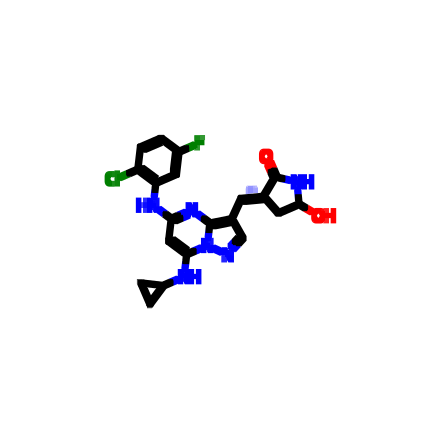 O=C1NC(O)C/C1=C\c1cnn2c(NC3CC3)cc(Nc3cc(F)ccc3Cl)nc12